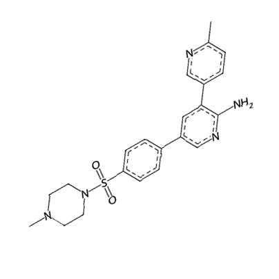 Cc1ccc(-c2cc(-c3ccc(S(=O)(=O)N4CCN(C)CC4)cc3)cnc2N)cn1